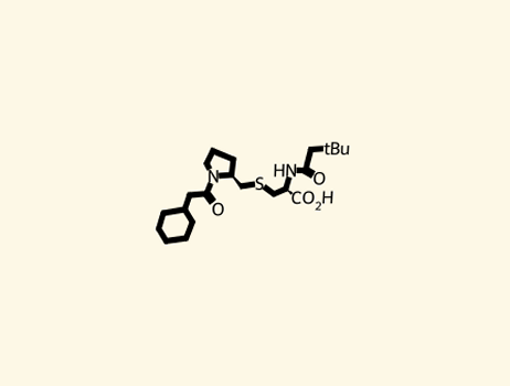 CC(C)(C)CC(=O)N[C@@H](CSC[C@@H]1CCCN1C(=O)CC1CCCCC1)C(=O)O